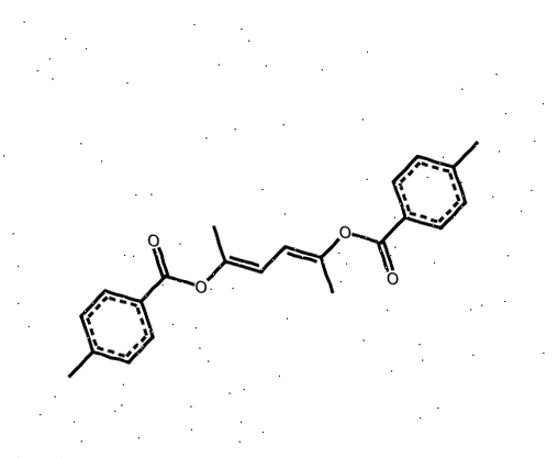 C/C(=C\C=C(/C)OC(=O)c1ccc(C)cc1)OC(=O)c1ccc(C)cc1